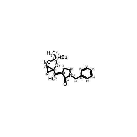 CC(C)(C)[Si](C)(C)OC1(/C(O)=C2\CCN(Cc3ccccc3)C2=O)CC1